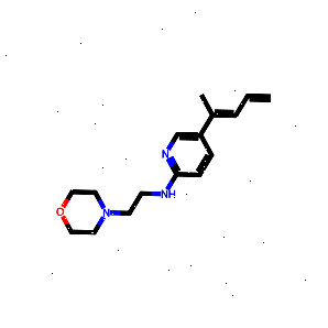 C=C/C=C(\C)c1ccc(NCCN2CCOCC2)nc1